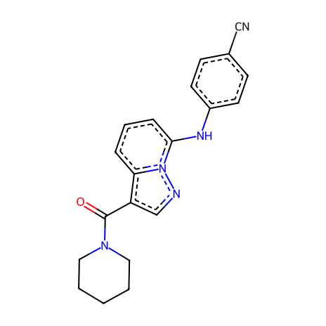 N#Cc1ccc(Nc2cccc3c(C(=O)N4CCCCC4)cnn23)cc1